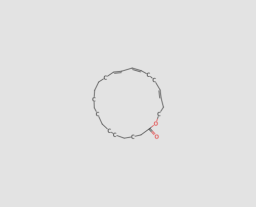 O=C1CCCCCCCCCCCC/C=C/C=C\CC/C=C/CCO1